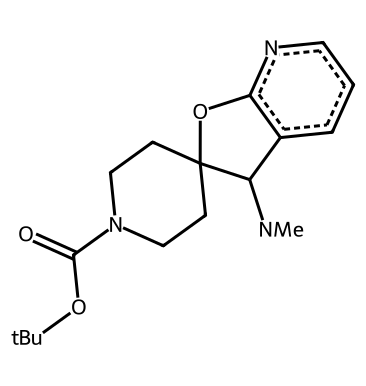 CNC1c2cccnc2OC12CCN(C(=O)OC(C)(C)C)CC2